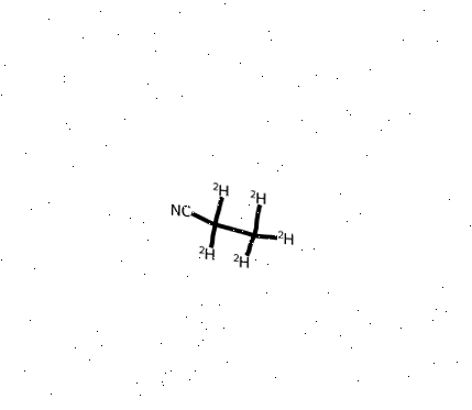 [2H]C([2H])([2H])C([2H])([2H])C#N